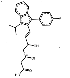 CC(C)n1c(C=CC(O)C[C@@H](O)CC(=O)O)c(-c2ccc(F)cc2)c2ccccc21